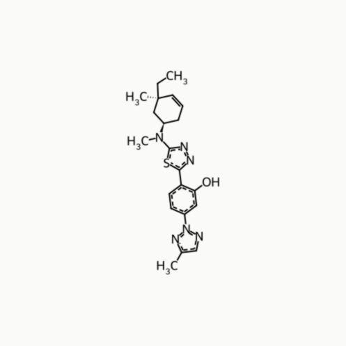 CC[C@@]1(C)C=CC[C@@H](N(C)c2nnc(-c3ccc(-n4ncc(C)n4)cc3O)s2)C1